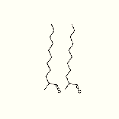 CCCCCCCCCC(C)C=O.CCCCCCCCCC(C)C=O